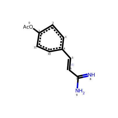 CC(=O)Oc1ccc(/C=C/C(=N)N)cc1